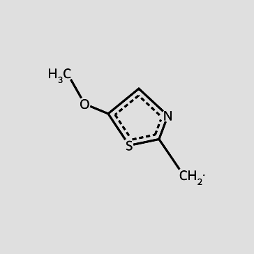 [CH2]c1ncc(OC)s1